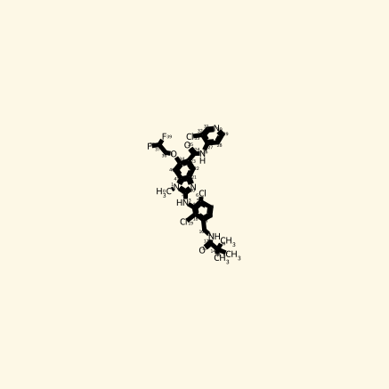 Cn1c(Nc2c(Cl)ccc(CNC(=O)C(C)(C)C)c2Cl)nc2cc(C(=O)Nc3ccncc3Cl)c(OCC(F)F)cc21